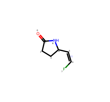 O=C1CCC(/C=C\F)N1